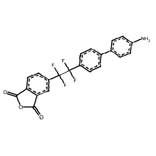 Nc1ccc(-c2ccc(C(F)(F)C(F)(F)c3ccc4c(c3)C(=O)OC4=O)cc2)cc1